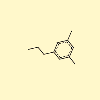 CCCc1[c]c(C)cc(C)c1